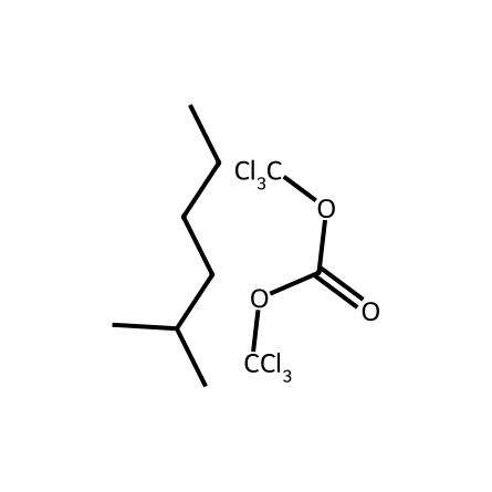 CCCCC(C)C.O=C(OC(Cl)(Cl)Cl)OC(Cl)(Cl)Cl